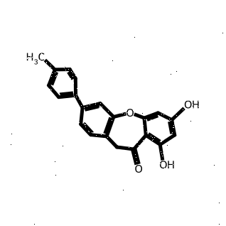 Cc1ccc(-c2ccc3c(c2)Oc2cc(O)cc(O)c2C(=O)C3)cc1